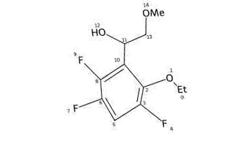 CCOc1c(F)cc(F)c(F)c1C(O)COC